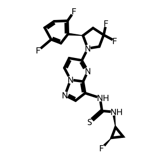 Fc1ccc(F)c([C@H]2CC(F)(F)CN2c2ccn3ncc(NC(=S)N[C@H]4C[C@H]4F)c3n2)c1